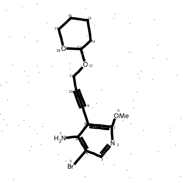 COc1ncc(Br)c(N)c1C#CCOC1CCCCO1